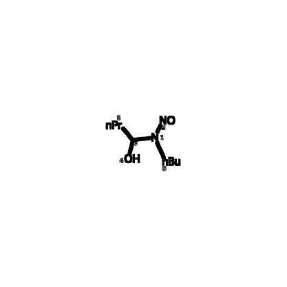 CCCCN(N=O)C(O)CCC